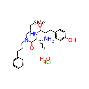 CSCCCN(CCCc1ccccc1)C(=O)[C@@H](C)NC(=O)[C@@H](N)Cc1ccc(O)cc1.Cl.O